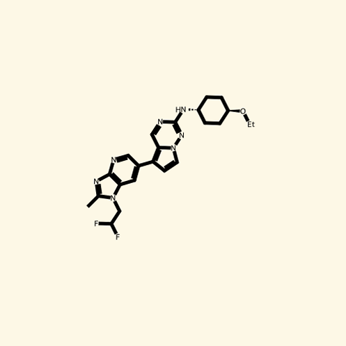 CCO[C@H]1CC[C@H](Nc2ncc3c(-c4cnc5nc(C)n(CC(F)F)c5c4)ccn3n2)CC1